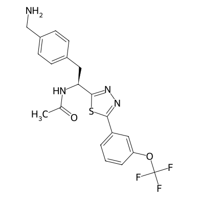 CC(=O)N[C@@H](Cc1ccc(CN)cc1)c1nnc(-c2cccc(OC(F)(F)F)c2)s1